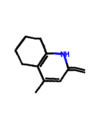 C=C1C=C(C)C2=C(CCCC2)N1